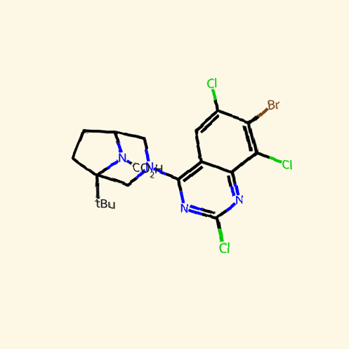 CC(C)(C)C12CCC(CN(c3nc(Cl)nc4c(Cl)c(Br)c(Cl)cc34)C1)N2C(=O)O